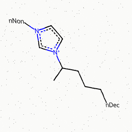 CCCCCCCCCCCCCC(C)[n+]1ccn(CCCCCCCCC)c1